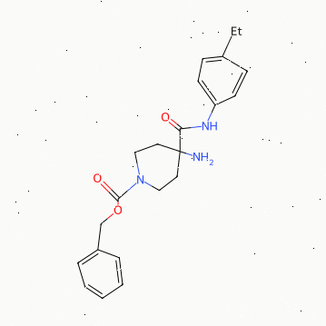 CCc1ccc(NC(=O)C2(N)CCN(C(=O)OCc3ccccc3)CC2)cc1